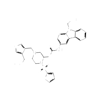 CCc1cocc1CN1CCN(S(=O)(=O)c2cccs2)C(OC(=O)Nc2ccc3c(c2)c2ccccc2n3CC)C1